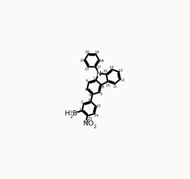 Bc1cc(-c2ccc3c(c2)c2ccccc2n3-c2ccccc2)ccc1[N+](=O)[O-]